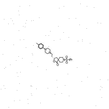 Cc1ccc(N2CCN(CC[C@@H]3CC4(CCN(S(=O)(=O)C(C)C)CC4)C(=O)O3)CC2)cc1